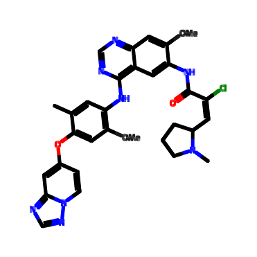 COc1cc2ncnc(Nc3cc(C)c(Oc4ccn5ncnc5c4)cc3OC)c2cc1NC(=O)/C(Cl)=C\C1CCCN1C